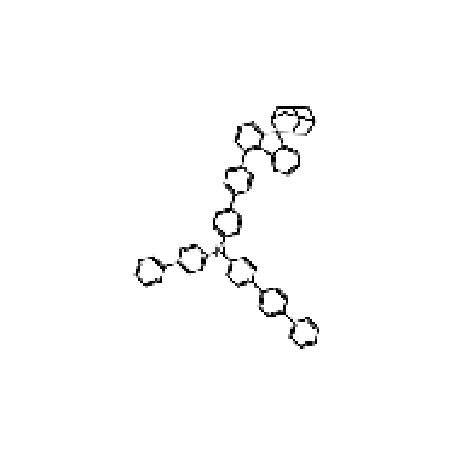 c1ccc(-c2ccc(-c3ccc(N(c4ccc(-c5ccccc5)cc4)c4ccc(-c5ccc(-c6cccc7c6-c6ccccc6C76C7CC8CC(C7)CC6C8)cc5)cc4)cc3)cc2)cc1